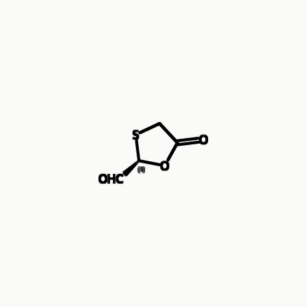 O=C[C@@H]1OC(=O)CS1